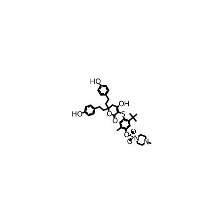 Cc1cc(SC2=C(O)CC(CCc3ccc(O)cc3)(CCc3ccc(O)cc3)OC2=O)c(C(C)(C)C)cc1OS(=O)(=O)N1CCN(C)CC1